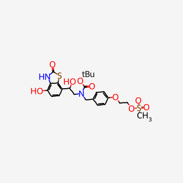 CC(C)(C)OC(=O)N(Cc1ccc(OCCOS(C)(=O)=O)cc1)CC(O)c1ccc(O)c2[nH]c(=O)sc12